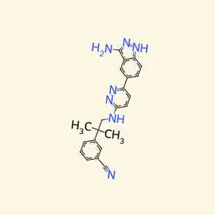 CC(C)(CNc1ccc(-c2ccc3[nH]nc(N)c3c2)nn1)c1cccc(C#N)c1